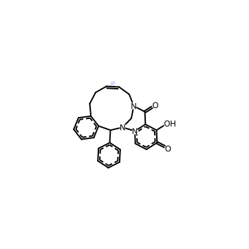 O=C1c2c(O)c(=O)ccn2N2CN1C/C=C\CCc1ccccc1C2c1ccccc1